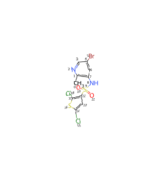 Cc1ncc(Br)cc1NS(=O)(=O)c1cc(Cl)sc1Cl